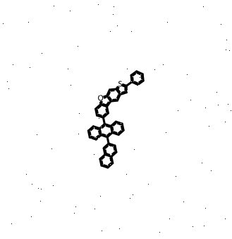 c1ccc(-c2cc3cc4c(cc3s2)oc2ccc(-c3c5ccccc5c(-c5ccc6ccccc6c5)c5ccccc35)cc24)cc1